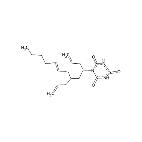 C=CCC(CC=CCCCC)CC(CC=C)n1c(=O)[nH]c(=O)[nH]c1=O